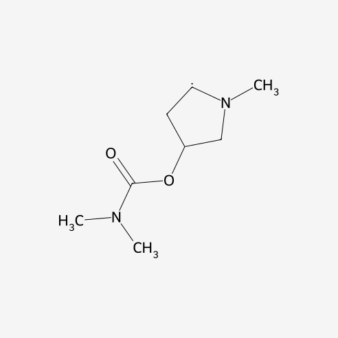 CN1[CH]CC(OC(=O)N(C)C)C1